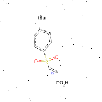 CC(C)(C)c1ccc(S(=O)(=O)/C=C/C(=O)O)cc1